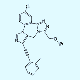 Cc1ccccc1C#Cc1ncn2c1Cn1c(COC(C)C)nnc1-c1cc(Cl)ccc1-2